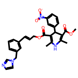 COC(=O)C1=C(C)NC(C)=C(C(=O)OCC=Cc2cccc(Cn3ccnc3)c2)C1c1cccc([N+](=O)[O-])c1